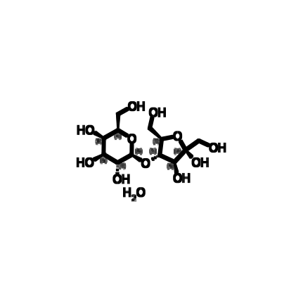 O.OC[C@H]1O[C@@H](O[C@@H]2[C@@H](CO)O[C@](O)(CO)[C@H]2O)[C@H](O)[C@@H](O)[C@H]1O